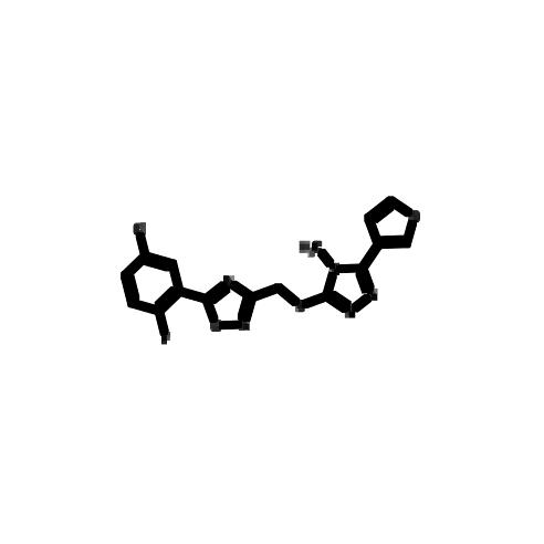 Cn1c(SCc2noc(-c3cc(Cl)ccc3F)n2)nnc1-c1ccoc1